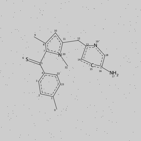 Cc1ccc(C(=S)c2c(C)cc(Cc3ccc(N)cn3)n2C)cc1